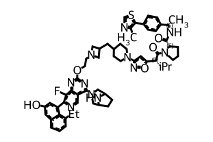 CCc1cccc2cc(O)cc(-c3ncc4c(N5CC6CCC(C5)N6)nc(OCCN5CC(CC6CCN(c7cc([C@H](C(=O)N8CCC[C@H]8C(=O)N[C@@H](C)c8ccc(-c9scnc9C)cc8)C(C)C)on7)CC6)C5)nc4c3F)c12